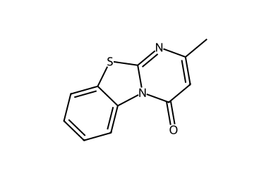 Cc1cc(=O)n2c(n1)sc1ccccc12